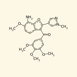 COc1cc(C(=O)c2c(-c3cnn(C)c3)oc3c(N)c(OC)ccc23)cc(OC)c1OC